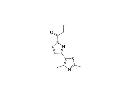 [CH2]CC(=O)n1ccc(-c2sc(C)nc2C)n1